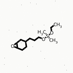 CCO[Si](C)(C)OCCCC1CCC2OC2C1